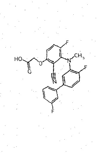 CN(c1cc(-c2cccc(F)c2)ccc1F)c1c(F)ccc(OCC(=O)O)c1C#N